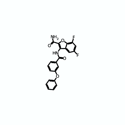 NC(=O)c1oc2c(F)cc(F)cc2c1NC(=O)c1cccc(Oc2ccccc2)c1